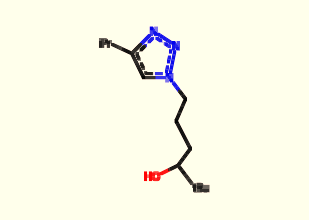 CC(C)c1cn(CCCC(O)C(C)(C)C)nn1